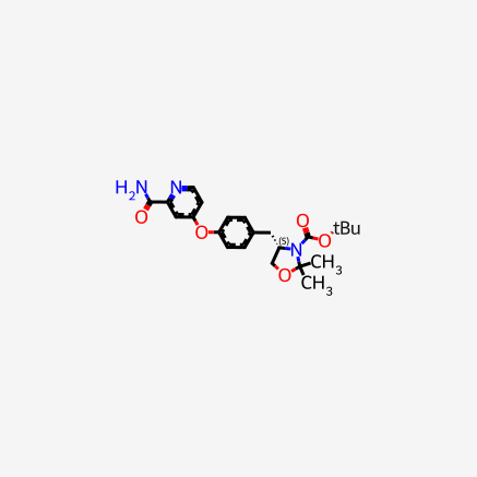 CC(C)(C)OC(=O)N1[C@@H](Cc2ccc(Oc3ccnc(C(N)=O)c3)cc2)COC1(C)C